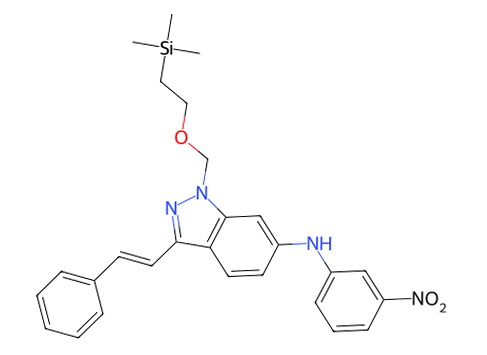 C[Si](C)(C)CCOCn1nc(C=Cc2ccccc2)c2ccc(Nc3cccc([N+](=O)[O-])c3)cc21